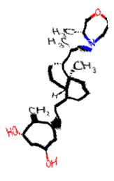 C=C1/C(=C\C=C2/CCC[C@]3(C)[C@@H]([C@H](C)CN4CCOC[C@H]4C)CC[C@@H]23)C[C@@H](O)C[C@@H]1O